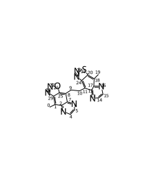 Cc1c2nccnc2c(CCc2c3nccnc3c(C)c3snnc23)c2onnc12